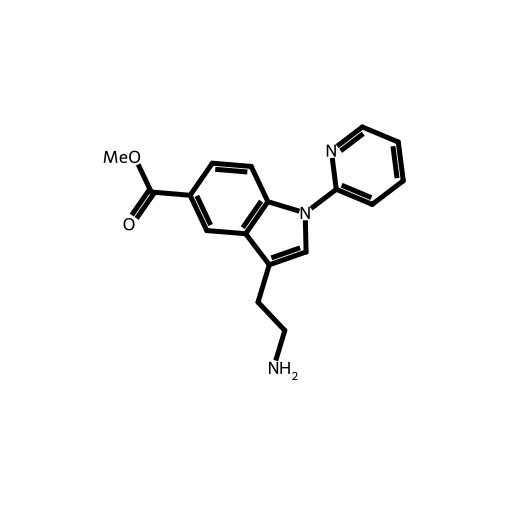 COC(=O)c1ccc2c(c1)c(CCN)cn2-c1ccccn1